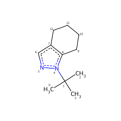 CC(C)(C)n1ncc2c1CCCC2